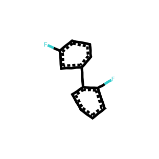 Fc1cccc(-c2ccc[c]c2F)c1